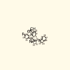 C[S+]([O-])c1nccc(-c2c(-c3ccc(F)cc3)nc3n2C(Cn2ccc4ccccc42)CC3)n1